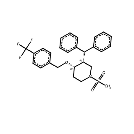 CS(=O)(=O)N1CC[C@H](OCc2ccc(C(F)(F)F)cc2)[C@H](C(c2ccccc2)c2ccccc2)C1